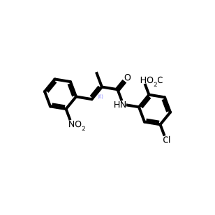 C/C(=C\c1ccccc1[N+](=O)[O-])C(=O)Nc1cc(Cl)ccc1C(=O)O